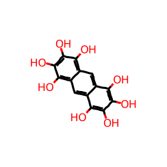 Oc1c(O)c(O)c2cc3c(O)c(O)c(O)c(O)c3cc2c1O